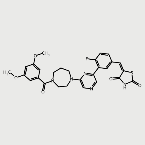 COc1cc(OC)cc(C(=O)N2CCCN(c3cncc(-c4cc(C=C5SC(=O)NC5=O)ccc4F)n3)CC2)c1